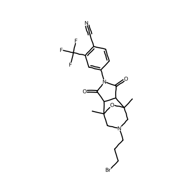 CC12CN(CCCBr)CC(C)(O1)C1C(=O)N(c3ccc(C#N)c(C(F)(F)F)c3)C(=O)C12